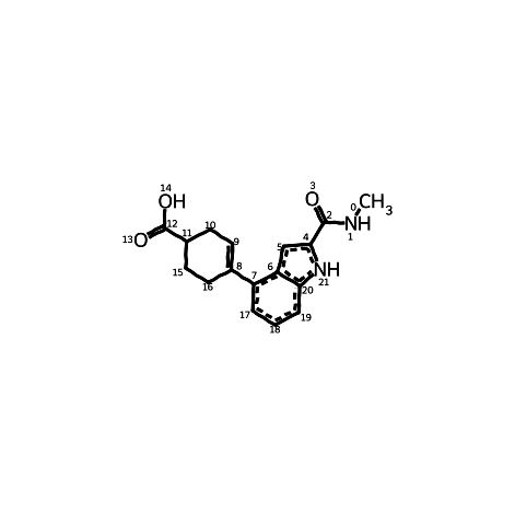 CNC(=O)c1cc2c(C3=CCC(C(=O)O)CC3)cccc2[nH]1